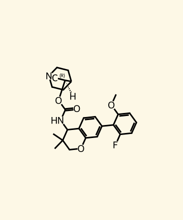 COc1cccc(F)c1-c1ccc2c(c1)OCC(C)(C)C2NC(=O)O[C@H]1CN2CCC1CC2